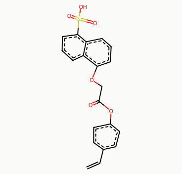 C=Cc1ccc(OC(=O)COc2cccc3c(S(=O)(=O)O)cccc23)cc1